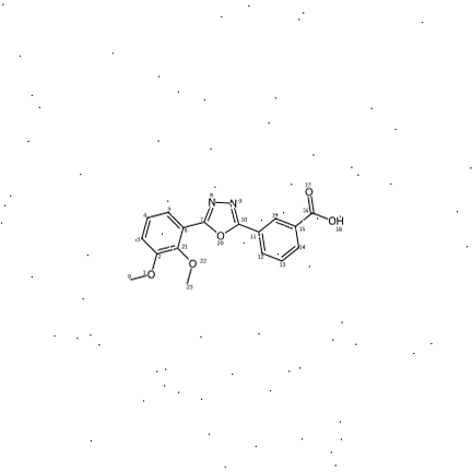 COc1cccc(-c2nnc(-c3cccc(C(=O)O)c3)o2)c1OC